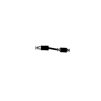 C#C[N+]#N